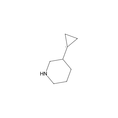 C1CNCC([C]2CC2)C1